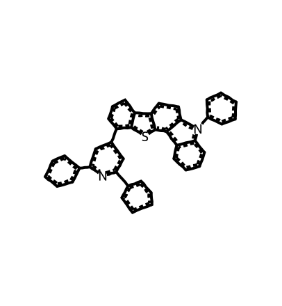 c1ccc(-c2cc(-c3cccc4c3sc3c4ccc4c3c3ccccc3n4-c3ccccc3)cc(-c3ccccc3)n2)cc1